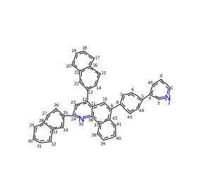 c1cncc(-c2ccc(-c3cc4c(-c5ccc6ccccc6c5)cc(-c5ccc6ccccc6c5)nc4c4ccccc34)cc2)c1